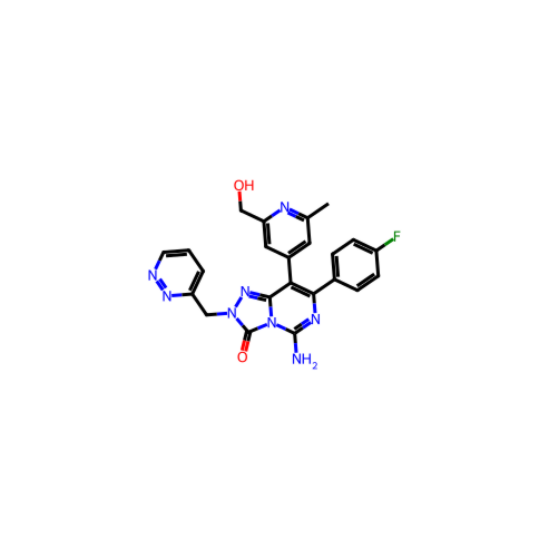 Cc1cc(-c2c(-c3ccc(F)cc3)nc(N)n3c(=O)n(Cc4cccnn4)nc23)cc(CO)n1